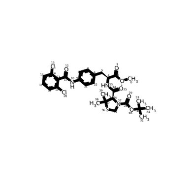 COC(=O)[C@H](Cc1ccc(NC(=O)c2c(Cl)cccc2Cl)cc1)NC(=O)[C@H]1N(C(=O)OC(C)(C)C)CSC1(C)C